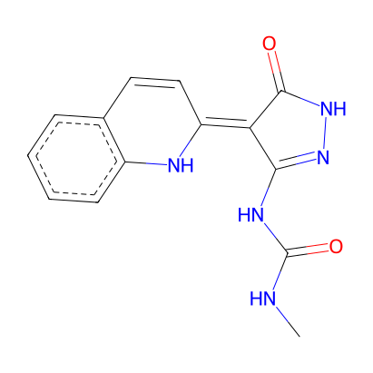 CNC(=O)NC1=NNC(=O)C1=C1C=Cc2ccccc2N1